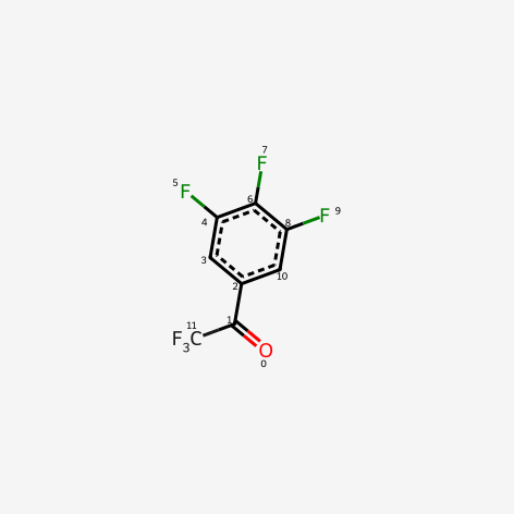 O=C(c1cc(F)c(F)c(F)c1)C(F)(F)F